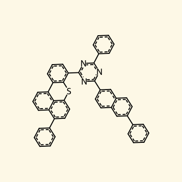 c1ccc(-c2ccc3cc(-c4nc(-c5ccccc5)nc(-c5cccc6c5Sc5ccc(-c7ccccc7)c7cccc-6c57)n4)ccc3c2)cc1